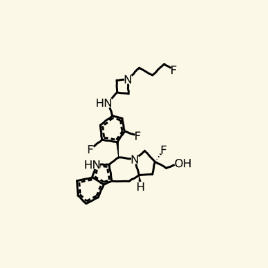 OC[C@@]1(F)C[C@@H]2Cc3c([nH]c4ccccc34)[C@@H](c3c(F)cc(NC4CN(CCCF)C4)cc3F)N2C1